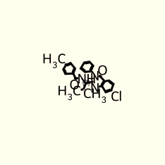 Cc1ccc(C(=O)N[C@@H](c2nc3cc(Cl)ccc3c(=O)n2-c2ccccc2)C(C)C)cc1